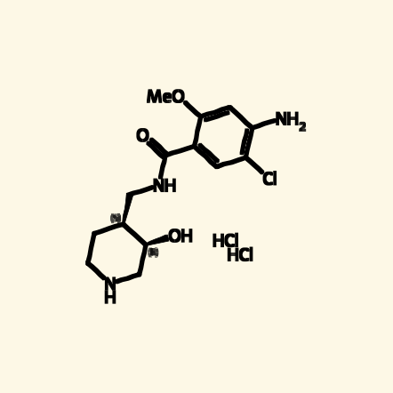 COc1cc(N)c(Cl)cc1C(=O)NC[C@@H]1CCNC[C@@H]1O.Cl.Cl